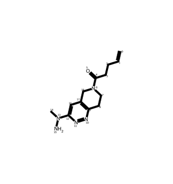 C=CCCC(=O)N1CCc2nnc(N(C)N)cc2C1